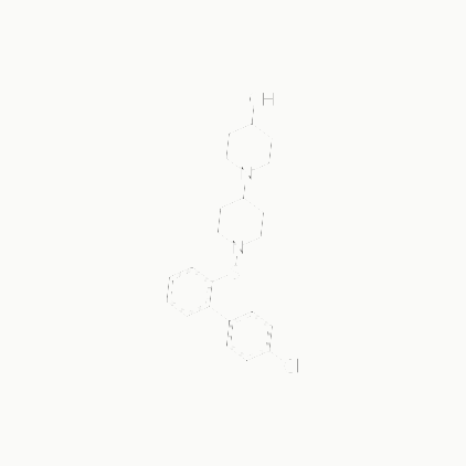 CC1CCN(C2CCN(Sc3ccccc3-c3ccc(Cl)cc3)CC2)CC1